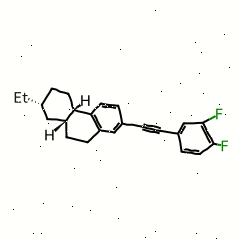 CC[C@@H]1CC[C@@H]2c3ccc(C#Cc4ccc(F)c(F)c4)cc3CC[C@@H]2C1